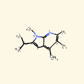 Cc1nc2c(cc(C(C)C)n2C)c(C)c1C